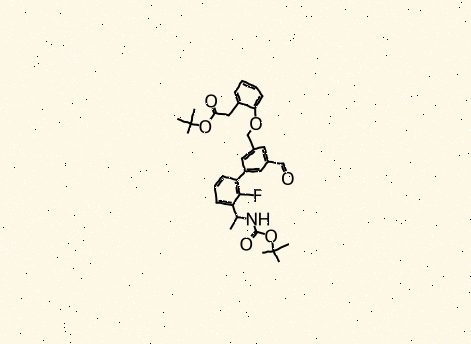 CC(NC(=O)OC(C)(C)C)c1cccc(-c2cc(C=O)cc(COc3ccccc3CC(=O)OC(C)(C)C)c2)c1F